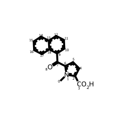 Cn1c(C(=O)O)ccc1C(=O)c1cccc2ccccc12